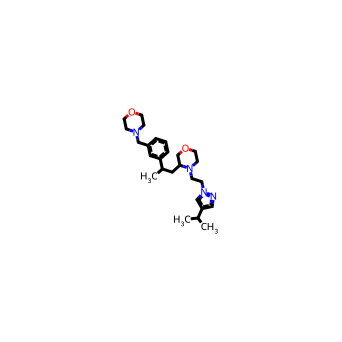 CC(C)c1cnn(CCN2CCOCC2CC(C)c2cccc(CN3CCOCC3)c2)c1